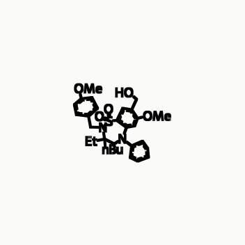 CCCCC1(CC)CN(c2ccccc2)c2cc(OC)c(CO)cc2S(=O)(=O)N1Cc1ccc(OC)cc1